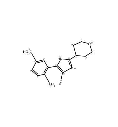 Cc1ccc(C(=O)O)cc1-c1[nH]c(C2CCOCC2)nc1Cl